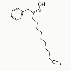 CCCCCCCCCC/C(Cc1ccccc1)=N/O